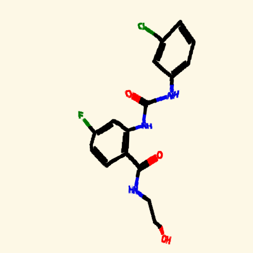 O=C(Nc1cccc(Cl)c1)Nc1cc(F)ccc1C(=O)NCCO